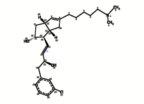 CN(C)CCCCCC1=C[C@H]2C[C@@H](O)[C@H](/C=C/[C@@H](O)Cc3cccc(Cl)c3)[C@H]2C1